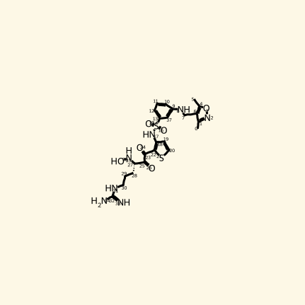 Cc1noc(C)c1CNc1cccc(S(=O)(=O)Nc2ccsc2C(=O)C(=O)[C@H](CCCNC(=N)N)NO)c1